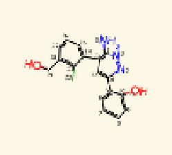 Nc1nnc(-c2ccccc2O)cc1-c1cccc(CO)c1F